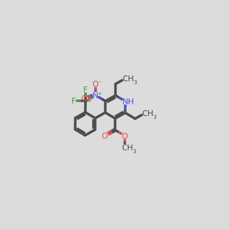 CCC1=C(C(=O)OC)C(c2ccccc2C(F)(F)F)C([N+](=O)[O-])=C(CC)N1